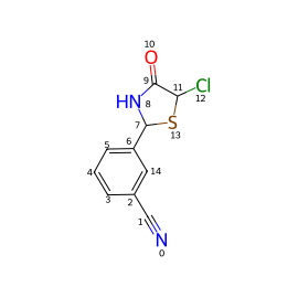 N#Cc1cccc(C2NC(=O)C(Cl)S2)c1